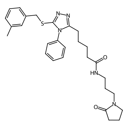 Cc1cccc(CSc2nnc(CCCCC(=O)NCCCN3CCCC3=O)n2-c2ccccc2)c1